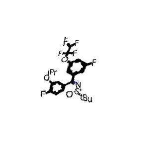 CC(C)Oc1cc(/C(=N\[S+]([O-])C(C)(C)C)c2cc(F)cc(OC(F)(F)C(F)F)c2)ccc1F